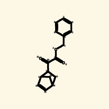 O=C(OCc1ccccc1)C(=O)C1CC2C=CC1C2